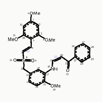 COc1cc(OC)c(/C=C/S(=O)(=O)Cc2ccc(OC)c(N/C=C\C(=O)c3ccccc3)c2)c(OC)c1